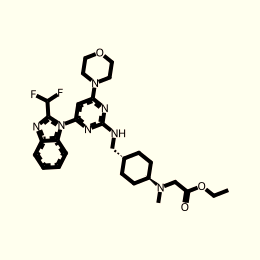 CCOC(=O)CN(C)[C@H]1CC[C@H](CNc2nc(N3CCOCC3)cc(-n3c(C(F)F)nc4ccccc43)n2)CC1